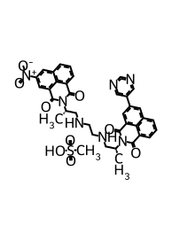 CS(=O)(=O)O.C[C@@H](CNCCNC[C@H](C)N1C(=O)c2cccc3cc([N+](=O)[O-])cc(c23)C1=O)N1C(=O)c2cccc3cc(-c4cncnc4)cc(c23)C1=O